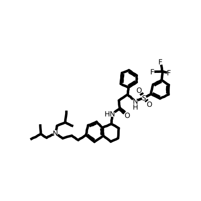 CC(C)CN(CCCc1ccc2c(c1)CCCC2NC(=O)CC(NS(=O)(=O)c1cccc(C(F)(F)F)c1)c1ccccc1)CC(C)C